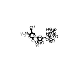 C#Cc1cn([C@@H]2O[C@H](COP(=O)(O)OP(=O)(O)OP(=O)(O)O)[C@H](O)[C@@H]2O)c(=O)nc1N